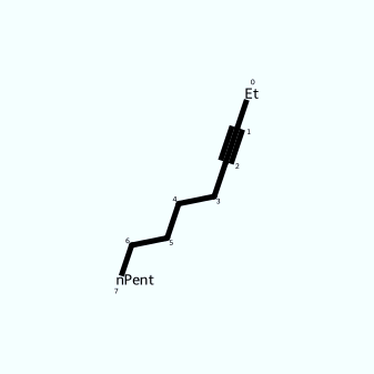 [CH2]CC#CCCCCCCCC[CH2]